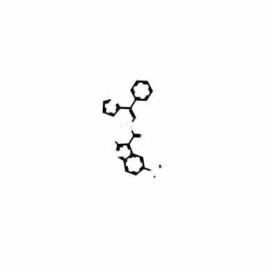 C[S+]([O-])c1ccc2sc(O)c(C(=O)N/C=C(/c3ccccc3)c3cccs3)c2c1